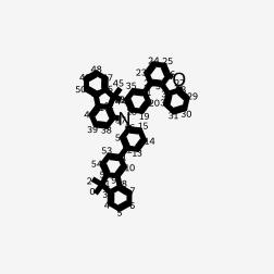 CC1(C)c2ccccc2-c2cc(-c3cccc(N(c4ccc(-c5cccc6oc7ccccc7c56)cc4)c4cccc5c4C(C)(C)c4ccccc4-5)c3)ccc21